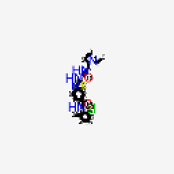 CCN1CCCC1CNC(=O)Nc1nc2ccc(C(=O)Nc3c(C)cccc3Cl)cc2s1